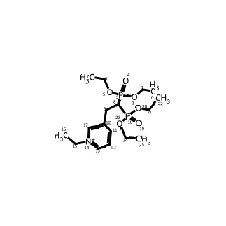 CCOP(=O)(OCC)C(Cc1ccc[n+](CC)c1)P(=O)(OCC)OCC